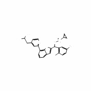 CC(O)Cc1ccnc(-c2cccc3cc(C(NS(=O)(=O)C4CC4)c4cc(N)ccc4Cl)sc23)c1